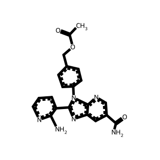 CC(=O)OCc1ccc(-n2c(-c3cccnc3N)nc3cc(C(N)=O)cnc32)cc1